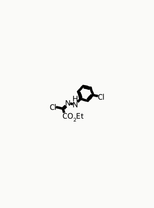 CCOC(=O)/C(Cl)=N\Nc1cccc(Cl)c1